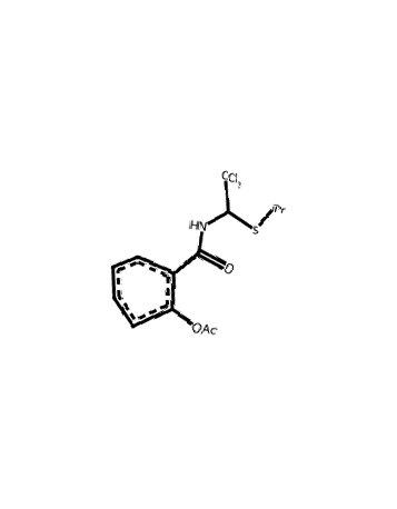 CC(=O)Oc1ccccc1C(=O)NC(SC(C)C)C(Cl)(Cl)Cl